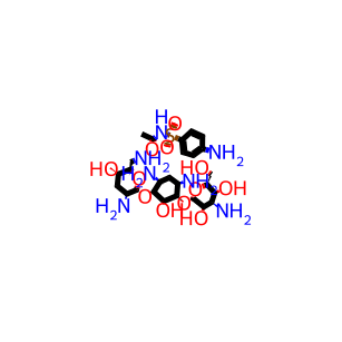 CC(=O)NS(=O)(=O)c1ccc(N)cc1.NC[C@H]1O[C@H](O[C@H]2[C@H](O)[C@@H](O[C@H]3O[C@H](CO)[C@@H](O)[C@H](N)[C@H]3O)[C@H](N)C[C@@H]2N)[C@H](N)C[C@@H]1O